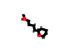 COCCCCC1CCCCO1